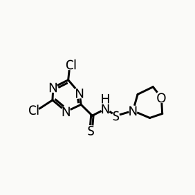 S=C(NSN1CCOCC1)c1nc(Cl)nc(Cl)n1